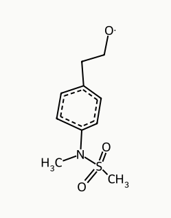 CN(c1ccc(CC[O])cc1)S(C)(=O)=O